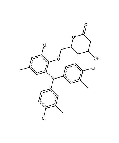 Cc1cc(Cl)c(OCC2CC(O)CC(=O)O2)c(C(c2ccc(Cl)c(C)c2)c2ccc(Cl)c(C)c2)c1